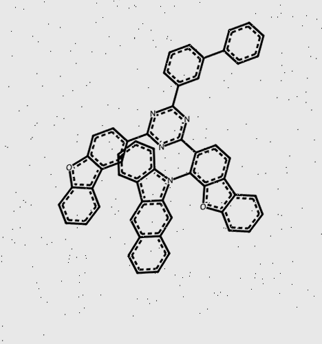 c1ccc(-c2cccc(-c3nc(-c4ccc5oc6ccccc6c5c4)nc(-c4ccc5c(oc6ccccc65)c4-n4c5ccccc5c5cc6ccccc6cc54)n3)c2)cc1